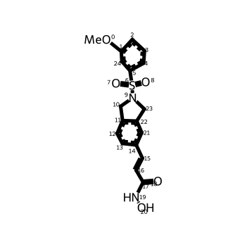 COc1cccc(S(=O)(=O)N2Cc3ccc(C=CC(=O)NO)cc3C2)c1